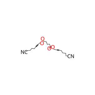 N#CCCCCC#CCOC(=O)CCCC(=O)OCC#CCCCCC#N